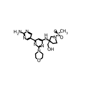 CS(=O)(=O)N1CC[C@](CO)(Nc2cc(-c3cnc(N)nc3)nc(N3CCOCC3)n2)C1